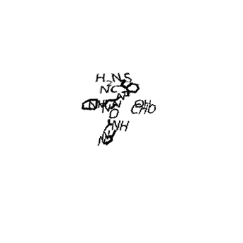 N#Cc1c(N)sc2c1C1(CCC2)CN(c2cc(N3CC4CCC(C3)N4)nc(OCC3Cn4nccc4CN3)n2)C1.O=CO